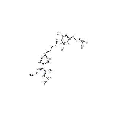 CO/N=C(\C(C)=N\OC)c1ccc(OCCCOc2c(Cl)cc(OCC=C(Cl)Cl)cc2Cl)cc1